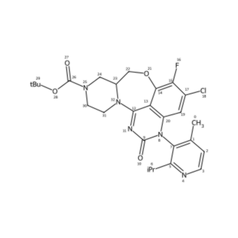 Cc1ccnc(C(C)C)c1-n1c(=O)nc2c3c(c(F)c(Cl)cc31)OCC1CN(C(=O)OC(C)(C)C)CCN21